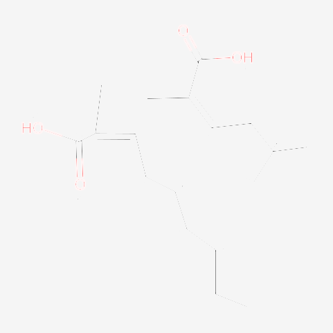 CC(=CCC(C)C)C(=O)O.CCCCCCC=C(C)C(=O)O